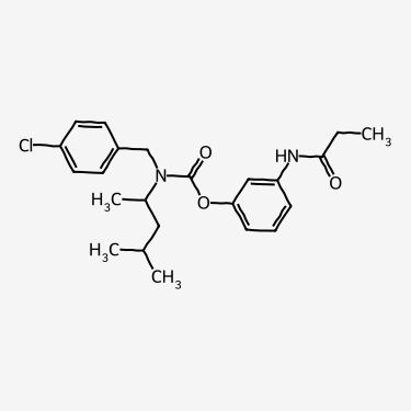 CCC(=O)Nc1cccc(OC(=O)N(Cc2ccc(Cl)cc2)C(C)CC(C)C)c1